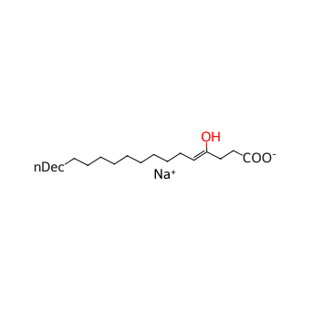 CCCCCCCCCCCCCCCCCCCC=C(O)CCC(=O)[O-].[Na+]